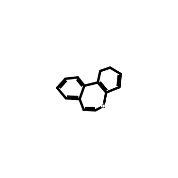 C1=CC2=C(CC1)c1ccccc1C=CO2